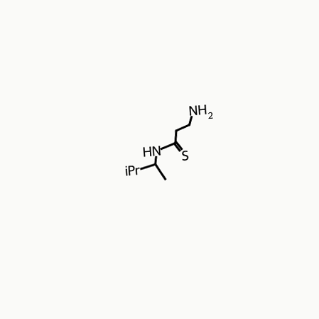 CC(C)C(C)NC(=S)CCN